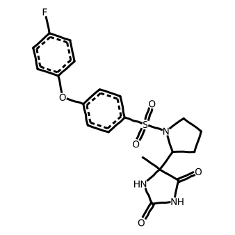 CC1(C2CCCN2S(=O)(=O)c2ccc(Oc3ccc(F)cc3)cc2)NC(=O)NC1=O